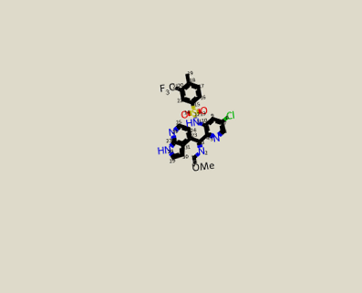 COC/N=C(/c1ncc(Cl)cc1NS(=O)(=O)c1ccc(C)c(C(F)(F)F)c1)c1ccnc2[nH]ccc12